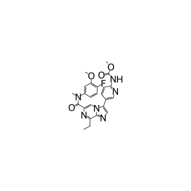 CCc1nc(C(=O)N(C)c2ccc(F)c(OC)c2)cn2c(-c3ccc(NC(=O)OC)nc3)cnc12